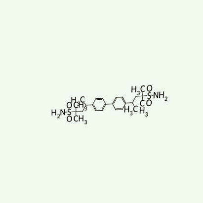 CC(CC(C)(C)S(N)(=O)=O)c1ccc(-c2ccc(C(C)CC(C)(C)S(N)(=O)=O)cc2)cc1